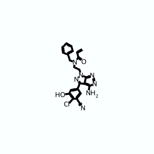 C=CC(=O)N(CCn1nc(-c2cc(O)c(Cl)c(C#N)c2)c2c(N)ncnc21)Cc1ccccc1